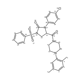 Cc1ccc(C)c(N2CCN(C(=O)C3CN(S(=O)(=O)c4ccccc4)C(=O)N3c3ccc(Cl)cc3)CC2)c1